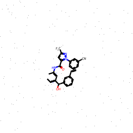 C=Cc1cccc(C(O)C(/C=C(\C)NC(=O)c2cc(C(F)(F)F)nn2-c2cccc(C#N)c2)=C/C)c1